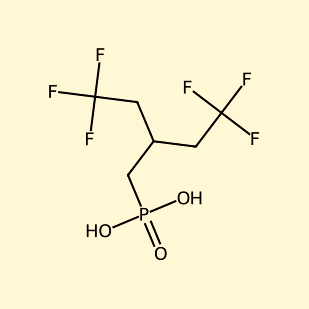 O=P(O)(O)CC(CC(F)(F)F)CC(F)(F)F